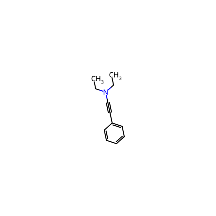 CCN(C#Cc1ccccc1)CC